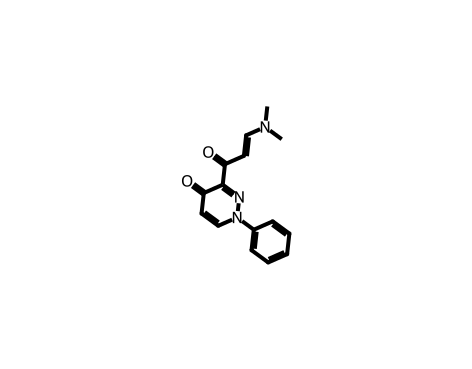 CN(C)/C=C/C(=O)c1nn(-c2ccccc2)ccc1=O